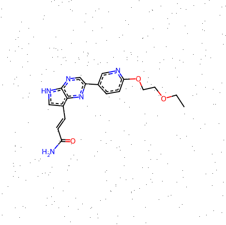 CCOCCOc1ccc(-c2cnc3[nH]cc(C=CC(N)=O)c3n2)cn1